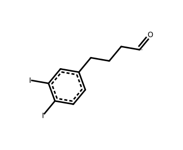 O=[C]CCCc1ccc(I)c(I)c1